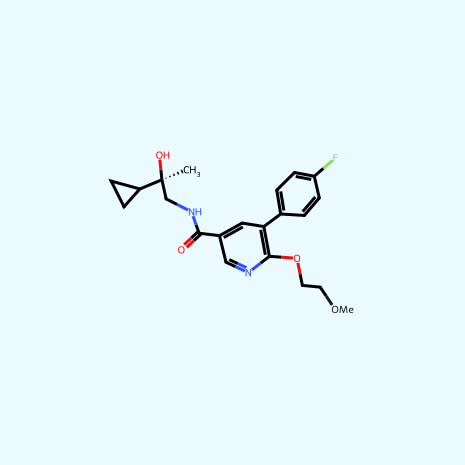 COCCOc1ncc(C(=O)NC[C@](C)(O)C2CC2)cc1-c1ccc(F)cc1